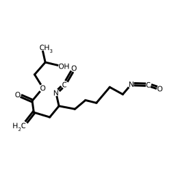 C=C(CC(CCCCCN=C=O)N=C=O)C(=O)OCC(C)O